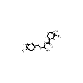 CC(OCC1CCC2(C)OC2C1)OC(=O)C1CCC2OC2(C)C1